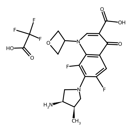 C[C@@H]1CN(c2c(F)cc3c(=O)c(C(=O)O)cn(C4COC4)c3c2F)C[C@@H]1N.O=C(O)C(F)(F)F